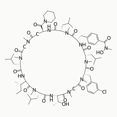 CC[C@H](C)C1NC(=O)[C@H](CC(C)C)N(C)C(=O)CN(C)C(=O)C[C@@H](C(=O)N2CCCCC2)NC(=O)[C@H](CC(C)C)N(C)C(=O)[C@H](Cc2ccc(C(=O)N(C)O)cc2)NC(=O)[C@H](CC(C)C)N(C)C(=O)[C@H](Cc2cccc(Cl)c2)N(C)C(=O)CN(C)C(=O)[C@H]([C@@H](C)O)NC(=O)[C@H](CC(C)C)N(C)C1=O